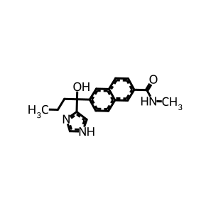 CCCC(O)(c1ccc2cc(C(=O)NC)ccc2c1)c1c[nH]cn1